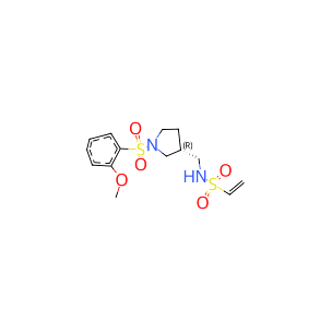 C=CS(=O)(=O)NC[C@H]1CCN(S(=O)(=O)c2ccccc2OC)C1